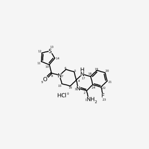 Cl.NC1=NC2(CCN(C(=O)c3ccsc3)CC2)Nc2cccc(F)c21